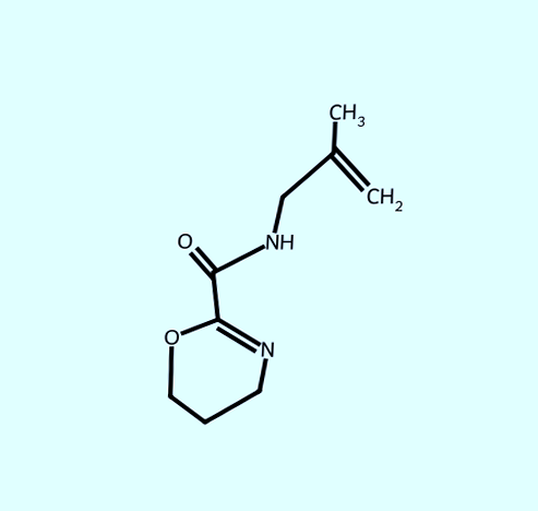 C=C(C)CNC(=O)C1=NCCCO1